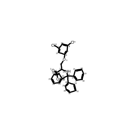 COC(=O)C(COc1cc(Cl)cc(Cl)c1)NC(c1ccccc1)(c1ccccc1)c1ccccc1